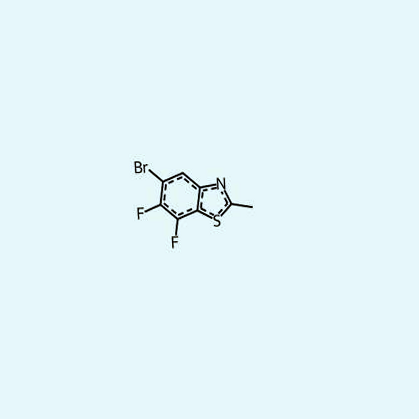 Cc1nc2cc(Br)c(F)c(F)c2s1